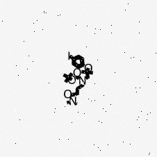 CN(C)C(=O)CCCN(CC(C)(C)Oc1ccc(I)cc1)C(=O)OC(C)(C)C